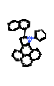 C1=CC(n2c(-c3cccc4ccccc34)cc3c4cccc5ccc6cccc(c6c54)c32)=CCC1